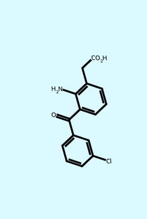 Nc1c(CC(=O)O)cccc1C(=O)c1cccc(Cl)c1